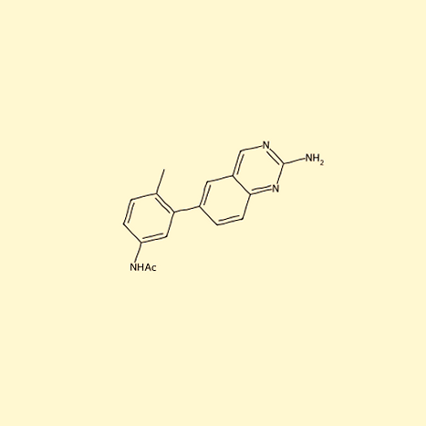 CC(=O)Nc1ccc(C)c(-c2ccc3nc(N)ncc3c2)c1